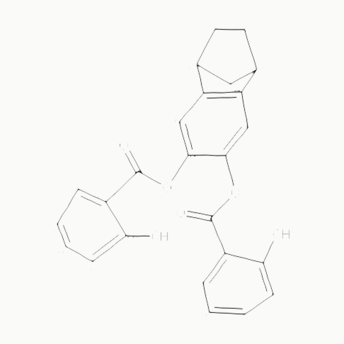 Cc1ccccc1C(=O)Oc1cc2c(cc1OC(=O)c1ccccc1C)C1CCC2C1